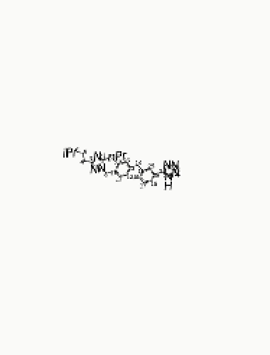 CCCc1nc(CCC(C)C)nn1Cc1ccc(Cc2cccc(-c3nnn[nH]3)c2)cc1